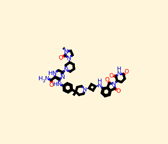 CN1CCN([C@H]2CCCN(C3=NC(Nc4ccc(C5(C)CCN([C@H]6C[C@H](Nc7cccc8c7C(=O)N(C7CCC(=O)NC7=O)C8=O)C6)CC5)cc4)=C(C(N)=O)NC3)C2)C1=O